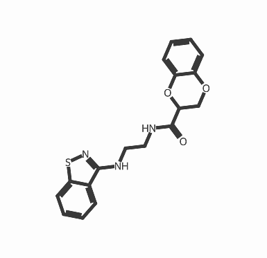 O=C(NCCNc1nsc2ccccc12)C1COc2ccccc2O1